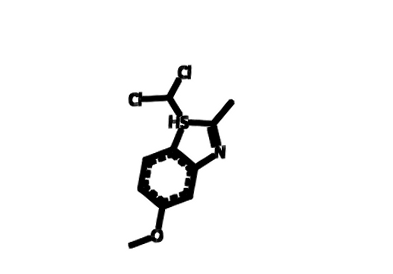 COc1ccc2c(c1)N=C(C)[SH]2C(Cl)Cl